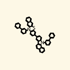 c1ccc(-c2cccc(N3c4ccc(-c5ccc6c(c5)c5ccc7ccccc7c5n6-c5cccc(-c6ccccc6)c5)cc4Sc4cc5ccccc5cc43)c2)cc1